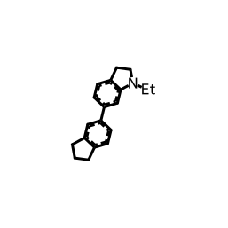 CCN1CCc2ccc(-c3ccc4c(c3)CCC4)cc21